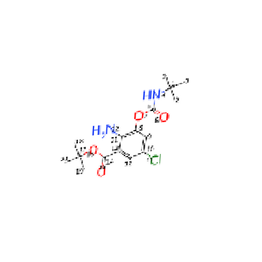 CC(C)(C)NC(=O)Oc1cc(Cl)cc(C(=O)OC(C)(C)C)c1N